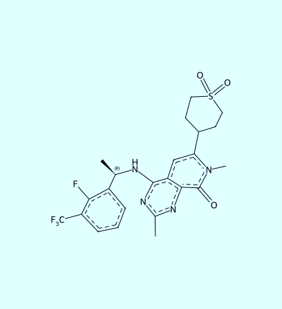 Cc1nc(N[C@H](C)c2cccc(C(F)(F)F)c2F)c2cc(C3CCS(=O)(=O)CC3)n(C)c(=O)c2n1